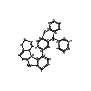 C1=CC2C(=CC=C3Nc4cccc(-c5ccc6c(c5)N(c5ccccc5)c5ccccc5S6)c4C32)CC1